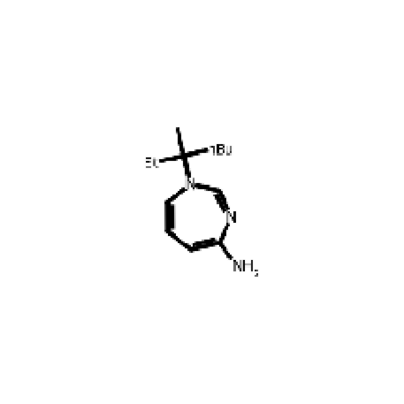 CCCCC(C)(CC)N1C=CC=C(N)N=C1